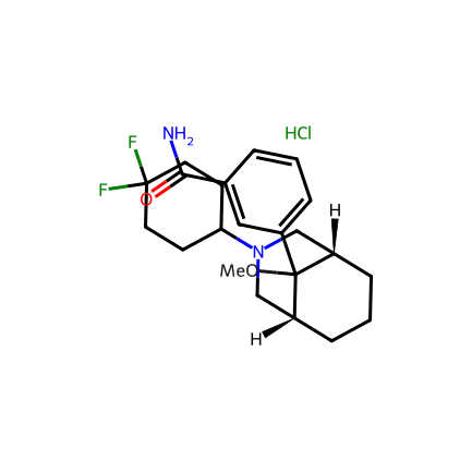 COC1(c2cccc(C(N)=O)c2)[C@@H]2CCC[C@H]1CN(C1CCC(F)(F)CC1)C2.Cl